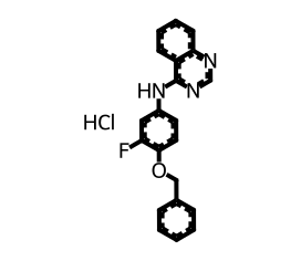 Cl.Fc1cc(Nc2ncnc3ccccc23)ccc1OCc1ccccc1